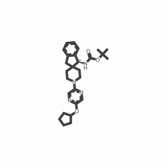 CC(C)(C)OC(=O)N[C@@H]1c2ccccc2CC12CCN(c1cnc(OC3CCCC3)cn1)CC2